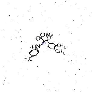 COC(=O)/C(=C\Nc1ccc(C(F)(F)F)cc1)C(=O)c1ccc(C)c(C)c1